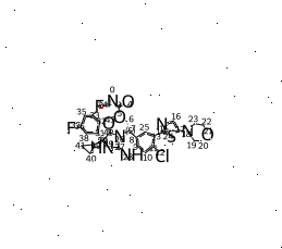 CN(C)C(=O)OC[C@H](c1ccc(Cl)c(-c2ncc(N3CCOCC3)s2)c1)N1C(=N)N[C@@](c2cc(F)cc(F)c2)(C2CC2)C1=O